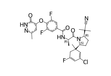 Cc1cc(Oc2c(F)cc(C(=O)N[C@H](C)C(=O)N3[C@H](C4(C)C=C(Cl)C=C(F)C4)CC[C@@H]3C(C)(C)C#N)cc2F)c(=O)[nH]n1